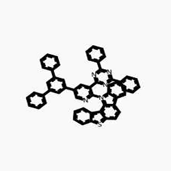 c1ccc(-c2cc(-c3ccccc3)cc(-c3cnc(-n4c5ccccc5c5ccc6sc7ccccc7c6c54)c(-c4nc(-c5ccccc5)nc(-c5ccccc5)n4)c3)c2)cc1